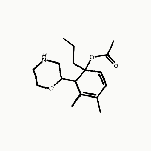 CCCC1(OC(C)=O)C=CC(C)=C(C)C1C1CNCCO1